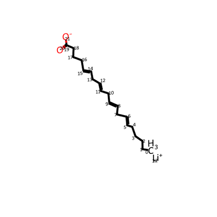 CCCCCC=CCC=CCC=CCC=CCCCC(=O)[O-].[Li+]